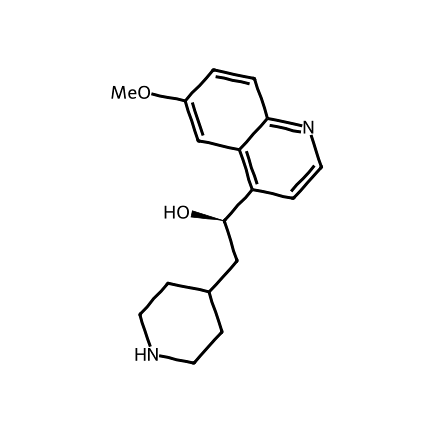 COc1ccc2nccc([C@H](O)CC3CCNCC3)c2c1